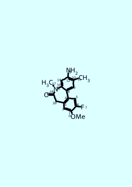 COc1cc2c(cc1F)-c1cc(C)c(N)cc1N(C)C(=O)C2